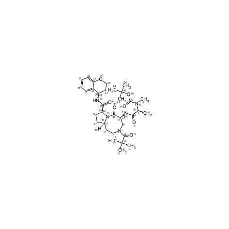 C[C@@H](C(=O)N[C@H]1CN(C(=O)C(C)(C)C)CC[C@H]2CC[C@@H](C(=O)N[C@@H]3CCOc4ccccc43)N2C1=O)N(C)C(=O)OC(C)(C)C